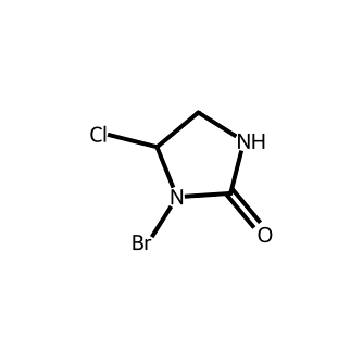 O=C1NCC(Cl)N1Br